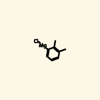 Cc1ccc[c]([Mg][Cl])c1C